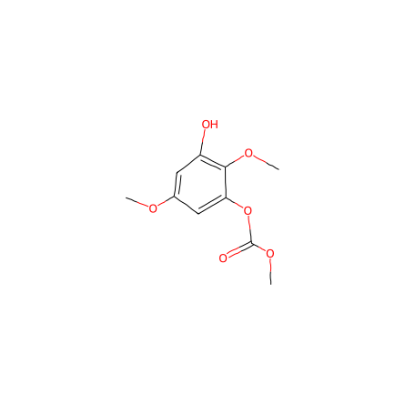 COC(=O)Oc1cc(OC)cc(O)c1OC